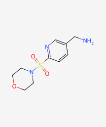 NCc1ccc(S(=O)(=O)N2CCOCC2)nc1